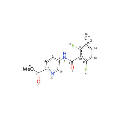 COC(=O)c1ccc(NC(=O)c2c(F)ccc(C(F)(F)F)c2F)cn1